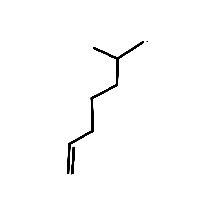 [CH]=CCCCC([CH2])C